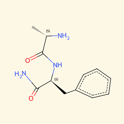 C[C@H](N)C(=O)N[C@@H](Cc1ccccc1)C(N)=O